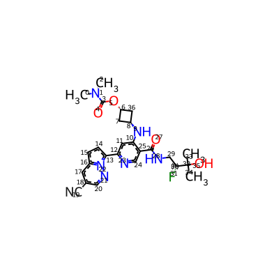 CN(C)C(=O)O[C@H]1C[C@H](Nc2cc(-c3ccc4cc(C#N)cnn34)ncc2C(=O)NC[C@@H](F)C(C)(C)O)C1